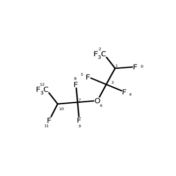 FC(C(F)(F)F)C(F)(F)OC(F)(F)C(F)C(F)(F)F